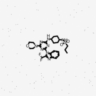 CCCS(=O)(=O)NC1CCC(Nc2nc(N3CCOCC3)nc(-n3c(C(F)F)nc4ccccc43)n2)CC1